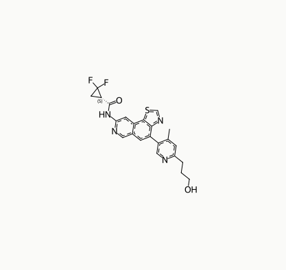 Cc1cc(CCCO)ncc1-c1cc2cnc(NC(=O)[C@@H]3CC3(F)F)cc2c2scnc12